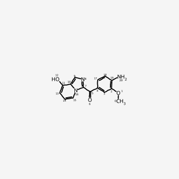 COc1cc(C(=O)c2ncc3c(O)cccn23)ccc1N